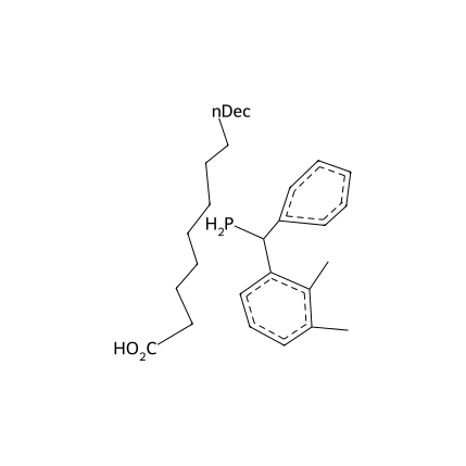 CCCCCCCCCCCCCCCCCC(=O)O.Cc1cccc(C(P)c2ccccc2)c1C